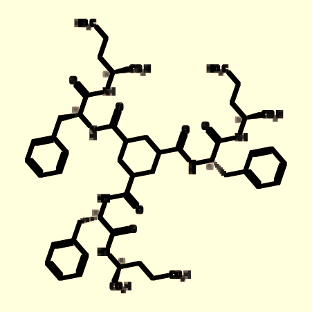 O=C(O)CC[C@H](NC(=O)[C@H](Cc1ccccc1)NC(=O)C1CC(C(=O)N[C@@H](Cc2ccccc2)C(=O)N[C@@H](CCC(=O)O)C(=O)O)CC(C(=O)N[C@@H](Cc2ccccc2)C(=O)N[C@@H](CCC(=O)O)C(=O)O)C1)C(=O)O